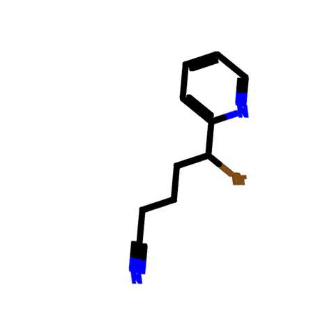 N#CCCCC(Br)c1ccccn1